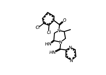 CC1CN(C(=N)c2cnccn2)C(=N)CN1C(=O)c1cccc(Cl)c1Cl